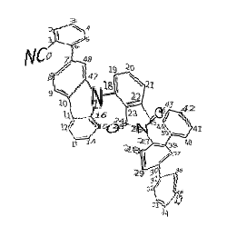 N#Cc1ccccc1-c1ccc2c3ccccc3n(-c3cccc4c3C(=O)N(c3ccc(-c5ccccc5)cc3-c3ccccc3)C4=O)c2c1